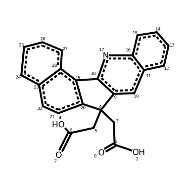 O=C(O)CC1(CC(=O)O)c2cc3ccccc3nc2-c2c1ccc1ccccc21